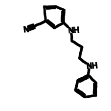 N#Cc1cccc(NCCCNc2ccccc2)c1